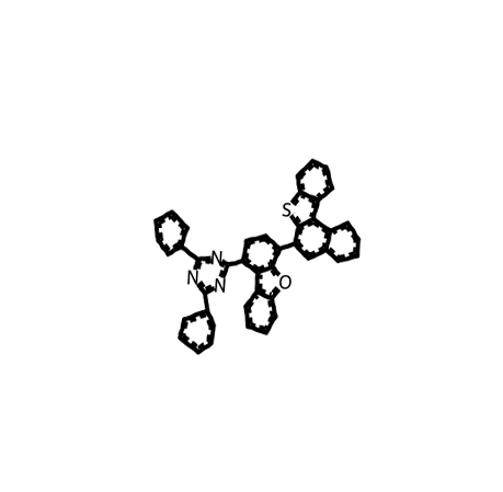 c1ccc(-c2nc(-c3ccccc3)nc(-c3ccc(-c4cc5ccccc5c5c4sc4ccccc45)c4oc5ccccc5c34)n2)cc1